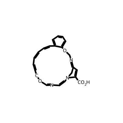 O=C(O)C1=CC2=NCOc3ccccc3C=CC=CC=CCOC=NC=CN1C2